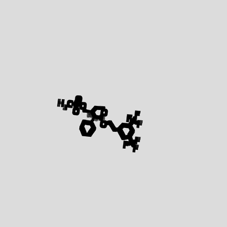 CS(=O)(=O)OC[C@H]1CCO[C@H](OCCc2cc(C(F)(F)F)cc(C(F)(F)F)c2)[C@@H]1c1ccccc1